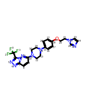 FC(F)(F)c1nnc2ccc(N3CCN(c4ccc(OCCn5ccnc5)cc4)CC3)nn12